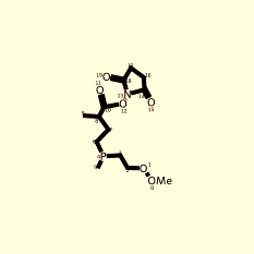 COOCCP(C)CCC(C)C(=O)ON1C(=O)CCC1=O